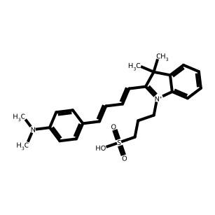 CN(C)c1ccc(C=CC=CC2=[N+](CCCS(=O)(=O)O)c3ccccc3C2(C)C)cc1